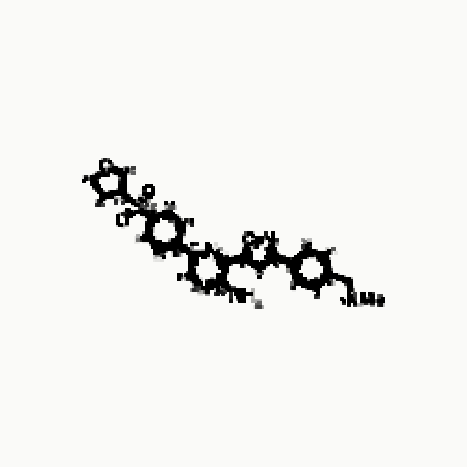 CNCc1ccc(-c2cc(-c3nc(-c4ccc(S(=O)(=O)C5CCOC5)cc4)cnc3N)on2)cc1